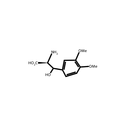 COc1ccc(C(O)[C@H](N)C(=O)O)cc1OC